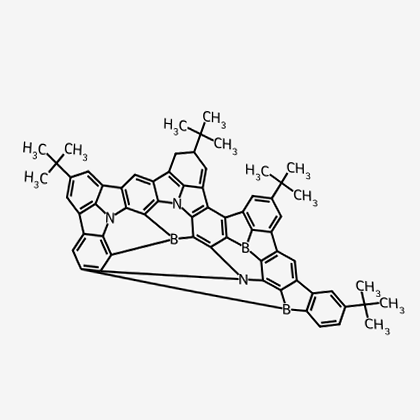 CC(C)(C)c1ccc2c(c1)-c1cc3c4c5c1B2c1cc2c6cc(C(C)(C)C)cc7c8cc9c%10c%11c(c%12c%13c(c%14c%15c%12n%11c9c9c8n(c2c(c1N5%14)B%159)c67)B4c1c-3cc(C(C)(C)C)cc1-%13)=CC(C(C)(C)C)C%10